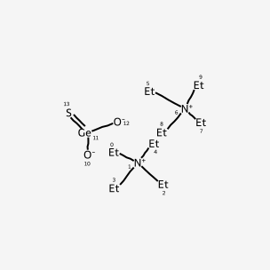 CC[N+](CC)(CC)CC.CC[N+](CC)(CC)CC.[O-][Ge]([O-])=[S]